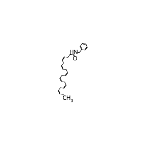 CC/C=C\C/C=C\C/C=C\C/C=C\C/C=C\C/C=C\CCC(=O)NCc1ccccc1